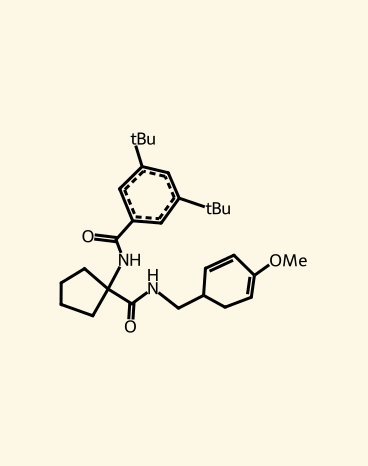 COC1=CCC(CNC(=O)C2(NC(=O)c3cc(C(C)(C)C)cc(C(C)(C)C)c3)CCCC2)C=C1